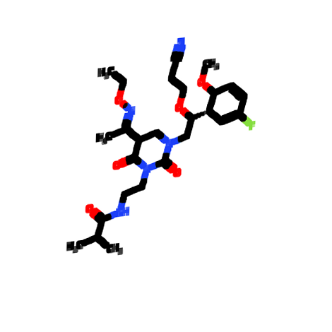 CCO/N=C(\C)C1CN(CC(OCCC#N)[C@H]2C=C(F)C=CC2OC)C(=O)N(CCNC(=O)C(C)C)C1=O